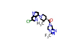 C[C@@H]1CN(c2ccnc3cc(Cl)cnc23)CC[C@@H]1C1OC1N1CCn2c(nnc2C(F)(F)F)C1